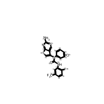 Cl.Nc1ncc2c(N(C(=O)Nc3cc(C(F)(F)F)ccc3F)c3ccccc3)csc2n1